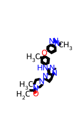 C=CC(=O)N1CCN(c2ccc3ncnc(Nc4ccc(Oc5ccc6c(c5)nnn6C)c(C)c4)c3n2)CC[C@@H]1C